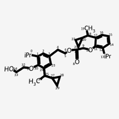 CC(C)c1cc(CCOC(=O)COc2c(C(C)C)cccc2C(C)C2CC2)cc(C(C)C2CC2)c1OCCO